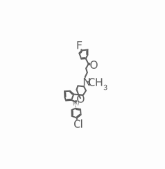 CN(CCCC(=O)c1ccc(F)cc1)C1CCC2(CC1)O[C@H](c1ccc(Cl)cc1)c1ccccc12